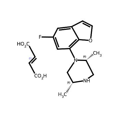 C[C@@H]1CN(c2cc(F)cc3ccoc23)[C@H](C)CN1.O=C(O)/C=C/C(=O)O